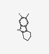 Cc1cc2c3c([nH]c2cc1F)CC[CH]C3